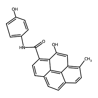 Cc1ccc2ccc3ccc(C(=O)Nc4ccc(O)cc4)c4c(O)cc1c2c34